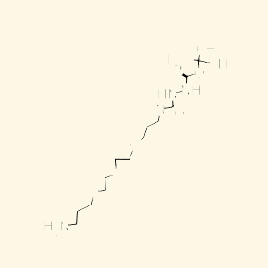 CC(C)(C)OC(=O)NNC(=O)NCCCOCCOCCOCCCN